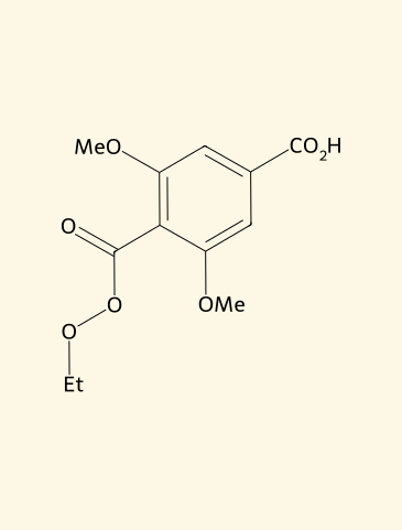 CCOOC(=O)c1c(OC)cc(C(=O)O)cc1OC